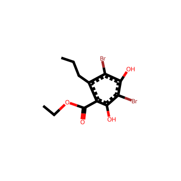 CCCc1c(Br)c(O)c(Br)c(O)c1C(=O)OCC